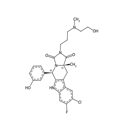 CN(CCO)CCCN1C(=O)N2[C@H](c3cccc(O)c3)c3[nH]c4cc(F)c(Cl)cc4c3C[C@@]2(C)C1=O